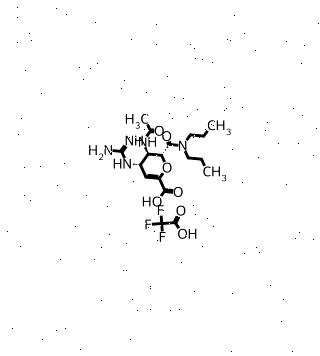 CCCN(CCC)C(=O)[C@@H]1OC(C(=O)O)=C[C@H](NC(=N)N)[C@H]1NC(C)=O.O=C(O)C(F)(F)F